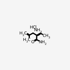 C=C(C)CC(=CC)C(N)=O.Cl.N